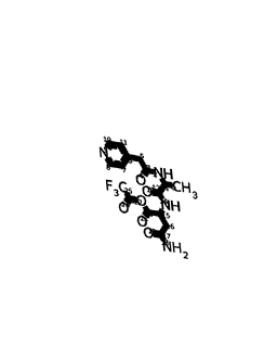 CC(NC(=O)Cc1ccncc1)C(=O)NC(CC(N)=O)C(=O)OC(=O)C(F)(F)F